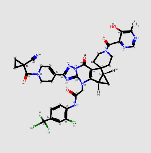 Cc1ncnc(C(=O)N2CCC3(CC2)c2c(n(CC(=O)Nc4ccc(C(F)(F)F)cc4Cl)c4nc(C5=CCN(C(=O)C6(C#N)CC6)CC5)nn4c2=O)[C@H]2C[C@H]23)c1O